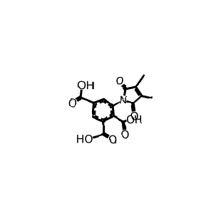 CC1=C(C)C(=O)N(c2cc(C(=O)O)cc(C(=O)O)c2C(=O)O)C1=O